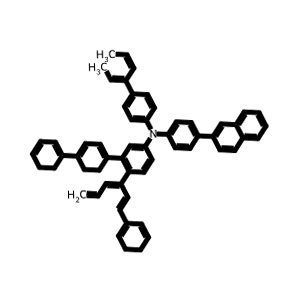 C=C/C=C(\C=C\C1=CCCC=C1)c1ccc(N(c2ccc(C(/C=C\C)=C/C)cc2)c2ccc(-c3ccc4ccccc4c3)cc2)cc1C1=CC=C(C2=CC=CCC2)CC1